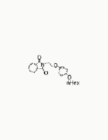 CCCCCCOc1ccc(OCCN2C(=O)c3ccccc3C2=O)cc1